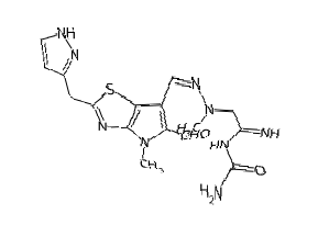 CN(CC(=N)NC(N)=O)/N=C\c1c(C=O)n(C)c2nc(Cc3cc[nH]n3)sc12